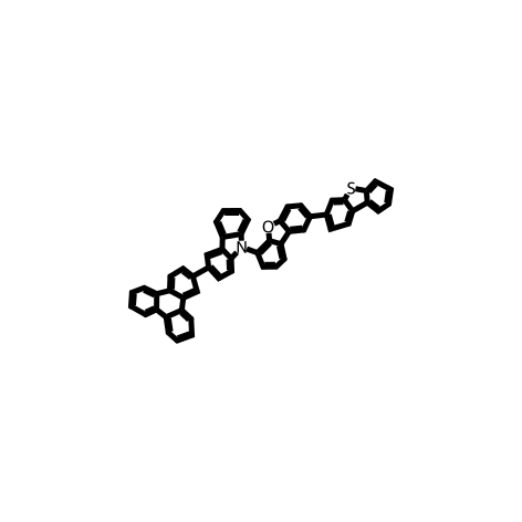 c1ccc2c(c1)sc1cc(-c3ccc4oc5c(-n6c7ccccc7c7cc(-c8ccc9c%10ccccc%10c%10ccccc%10c9c8)ccc76)cccc5c4c3)ccc12